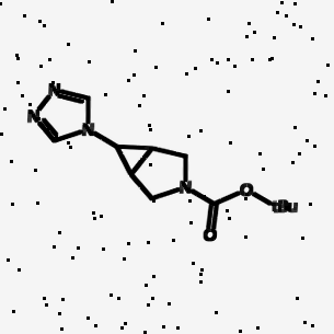 CC(C)(C)OC(=O)N1CC2C(C1)C2n1cnnc1